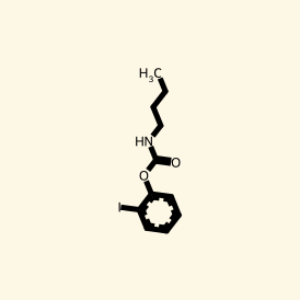 CCCCNC(=O)Oc1ccccc1I